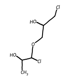 CC(O)C(Cl)OCC(O)CCl